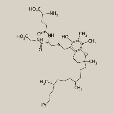 Cc1c(C)c2c(c(CSCC(NC(=O)CCC(N)C(=O)O)C(=O)NCC(=O)O)c1O)CCC(C)(CCCC(C)CCCC(C)CCCC(C)C)O2